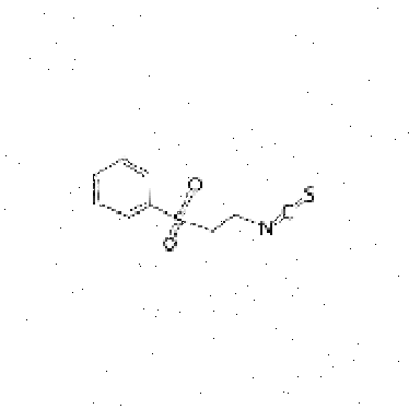 O=S(=O)(CCN=C=S)c1ccccc1